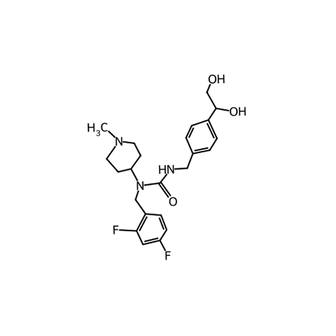 CN1CCC(N(Cc2ccc(F)cc2F)C(=O)NCc2ccc(C(O)CO)cc2)CC1